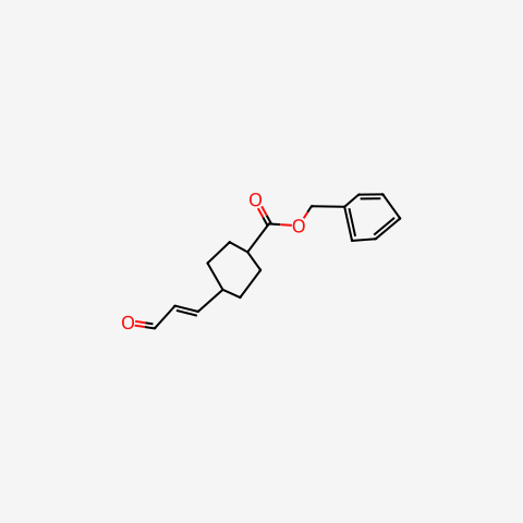 O=CC=CC1CCC(C(=O)OCc2ccccc2)CC1